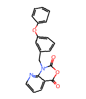 O=c1oc(=O)n(Cc2cccc(Oc3ccccc3)c2)c2ncccc12